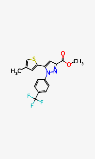 COC(=O)c1cc(-c2cc(C)cs2)n(-c2ccc(C(F)(F)F)cc2)n1